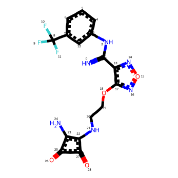 N=C(Nc1cccc(C(F)(F)F)c1)c1nonc1OCCNc1c(N)c(=O)c1=O